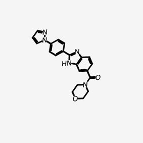 O=C(c1ccc2nc(-c3ccc(-n4cccn4)cc3)[nH]c2c1)N1CCOCC1